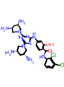 N[C@@H]1C[C@H](N)CN(c2nc(Nc3ccc(C(=O)Nc4cccc(Cl)c4Cl)c(O)c3)nc(N3C[C@H](N)C[C@H](N)C3)n2)C1